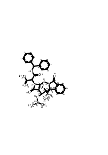 C=C(C)C(C(=O)OC(c1ccccc1)c1ccccc1)N1C(=O)C([C@](C)(O[SiH](C)C)C(C)(C)C)C1SN1C(=O)c2ccccc2C1=O